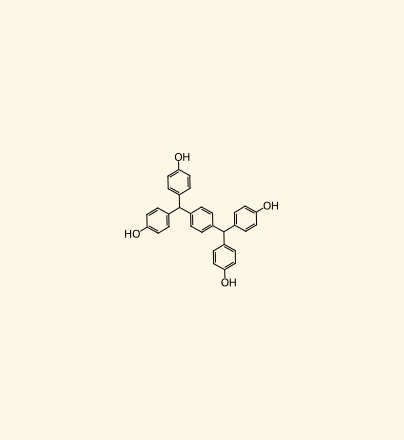 Oc1ccc(C(c2ccc(O)cc2)c2ccc(C(c3ccc(O)cc3)c3ccc(O)cc3)cc2)cc1